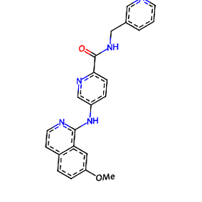 COc1ccc2ccnc(Nc3ccc(C(=O)NCc4cccnc4)nc3)c2c1